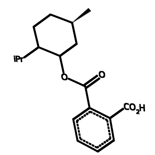 CC(C)C1CC[C@H](C)CC1OC(=O)c1ccccc1C(=O)O